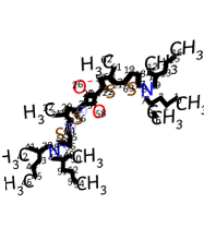 CCCCC(CC)CN(CC(CC)CCCC)c1ccc(-c2sc(C3=C([O-])/C(=c4\cc(CC)/c(=C5/C=CC(=[N+](CC(CC)CCCC)CC(CC)CCCC)S5)s4)C3=O)cc2CC)s1